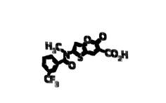 CN(C(=O)c1cccc(C(F)(F)F)c1)c1cc2oc(=O)c(C(=O)O)cc2s1